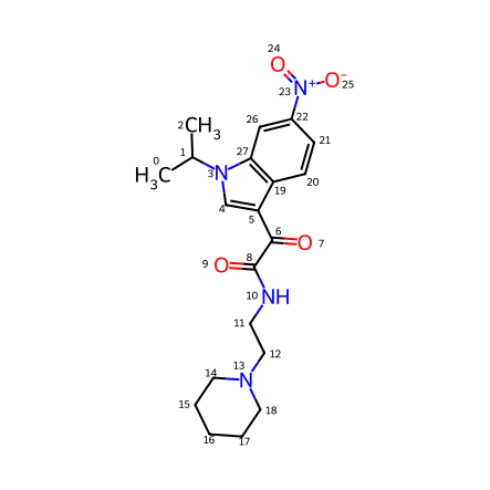 CC(C)n1cc(C(=O)C(=O)NCCN2CCCCC2)c2ccc([N+](=O)[O-])cc21